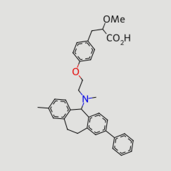 COC(Cc1ccc(OCCN(C)C2c3ccc(C)cc3CCc3cc(-c4ccccc4)ccc32)cc1)C(=O)O